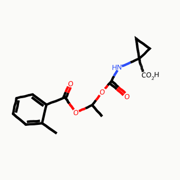 Cc1ccccc1C(=O)OC(C)OC(=O)NC1(C(=O)O)CC1